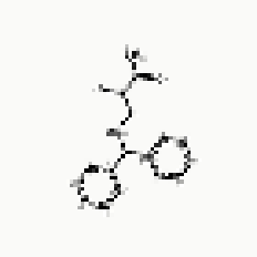 CC(=O)C(F)CNC(c1ccccc1)c1ccccc1